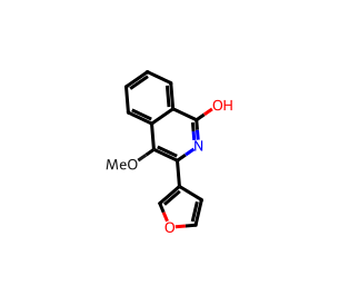 COc1c(-c2ccoc2)nc(O)c2ccccc12